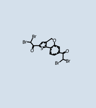 O=C(c1ccc2c(c1)OCc1cc(C(=O)C(Br)Br)sc1-2)C(Br)Br